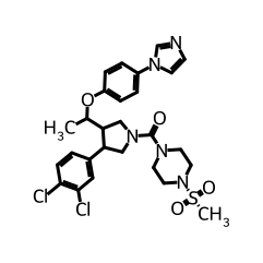 CC(Oc1ccc(-n2ccnc2)cc1)C1CN(C(=O)N2CCN(S(C)(=O)=O)CC2)CC1c1ccc(Cl)c(Cl)c1